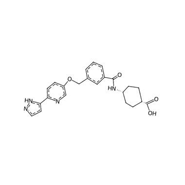 O=C(N[C@H]1CC[C@@H](C(=O)O)CC1)c1cccc(COc2ccc(-c3ccn[nH]3)nc2)c1